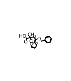 CC(C)(CC(OCc1ccccc1)=C1CC=CO1)C(=O)O